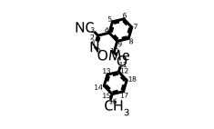 CO/N=C(/C#N)c1ccccc1COc1ccc(C)cc1